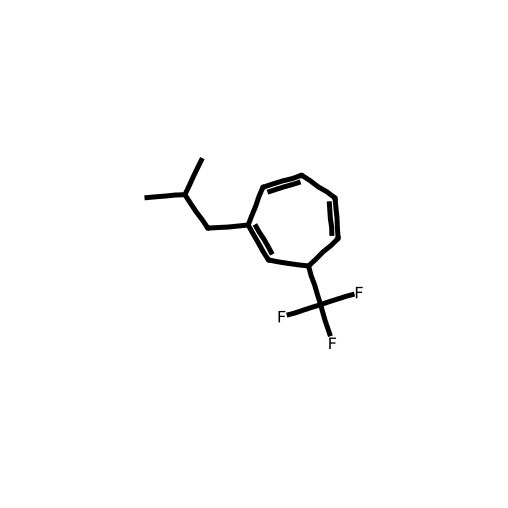 CC(C)CC1=CC(C(F)(F)F)C=CC=C1